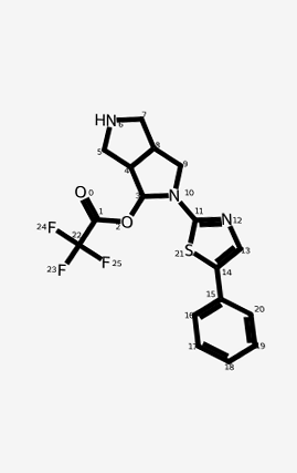 O=C(OC1C2CNCC2CN1c1ncc(-c2ccccc2)s1)C(F)(F)F